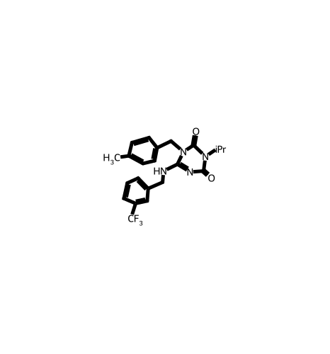 Cc1ccc(Cn2c(NCc3cccc(C(F)(F)F)c3)nc(=O)n(C(C)C)c2=O)cc1